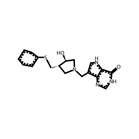 O=c1[nH]cnc2c(CN3C[C@H](CSc4ccccc4)[C@@H](O)C3)c[nH]c12